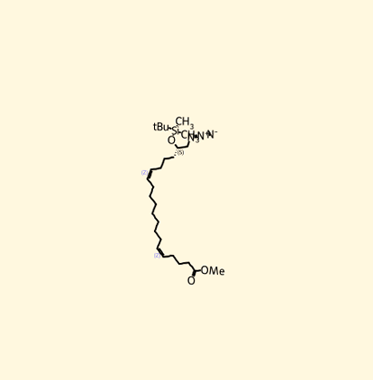 COC(=O)CCC/C=C\CCCCCCC/C=C\CCC[C@@H](CN=[N+]=[N-])O[Si](C)(C)C(C)(C)C